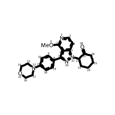 COc1nccc2c1c(-c1ccc(N3CCOCC3)cc1)nn2C1CCCCC1=O